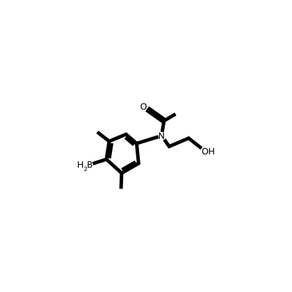 Bc1c(C)cc(N(CCO)C(C)=O)cc1C